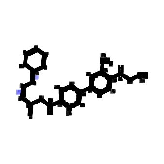 C=C(/C=C\C=C1\C=CC=CC1)CNc1ncc(-c2ccc(NCO)c(N)c2)cn1